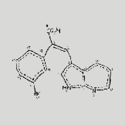 O=C(O)C(=Cc1c[nH]c2ncccc12)c1cccc(Br)c1